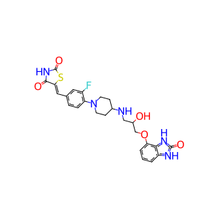 O=C1NC(=O)C(=Cc2ccc(N3CCC(NCC(O)COc4cccc5[nH]c(=O)[nH]c45)CC3)c(F)c2)S1